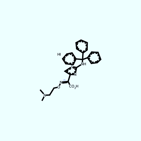 CN(C)CCO/N=C(\C(=O)O)c1csc(NC(c2ccccc2)(c2ccccc2)c2ccccc2)n1.I